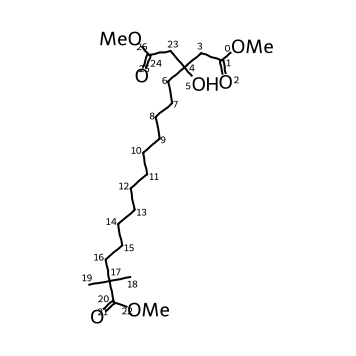 COC(=O)CC(O)(CCCCCCCCCCCC(C)(C)C(=O)OC)CC(=O)OC